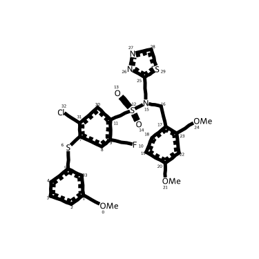 COc1cccc(Sc2cc(F)c(S(=O)(=O)N(Cc3ccc(OC)cc3OC)c3nncs3)cc2Cl)c1